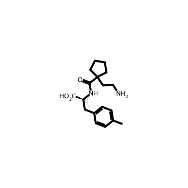 Cc1ccc(C[C@H](NC(=O)C2(CCN)CCCC2)C(=O)O)cc1